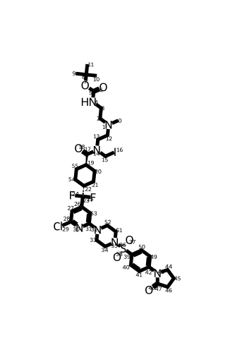 CN(CCNC(=O)OC(C)(C)C)CCN(CI)C(=O)[C@H]1CC[C@H](C(F)(F)c2cc(Cl)nc(N3CCN(S(=O)(=O)c4ccc(N5CCCC5=O)cc4)CC3)c2)CC1